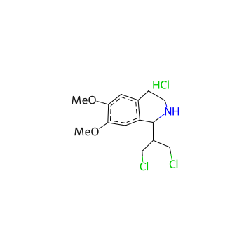 COc1cc2c(cc1OC)C(C(CCl)CCl)NCC2.Cl